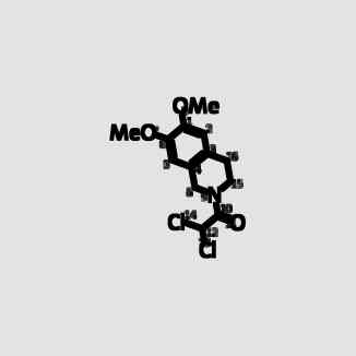 COc1cc2c(cc1OC)CN(C(=O)C(Cl)Cl)CC2